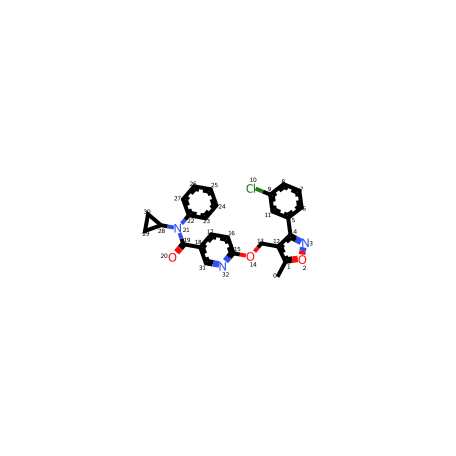 Cc1onc(-c2cccc(Cl)c2)c1COc1ccc(C(=O)N(c2ccccc2)C2CC2)cn1